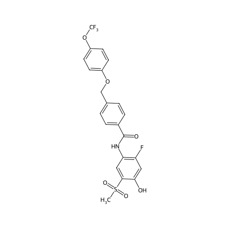 CS(=O)(=O)c1cc(NC(=O)c2ccc(COc3ccc(OC(F)(F)F)cc3)cc2)c(F)cc1O